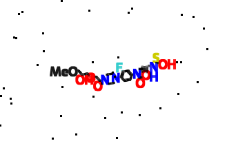 COCC(O)COCC(=O)N1CCN(c2ccc(N3C[C@H](CNC(O)=S)OC3=O)cc2F)CC1